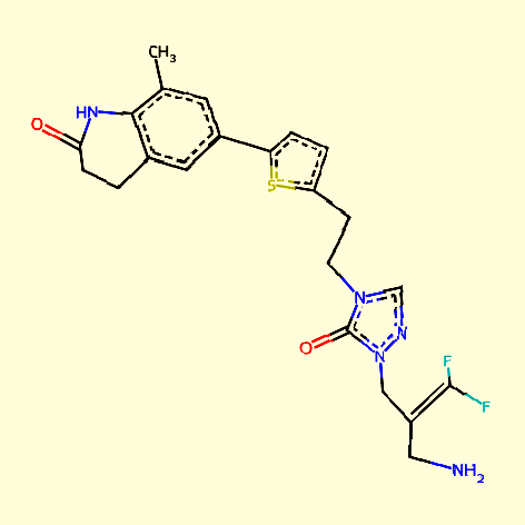 Cc1cc(-c2ccc(CCn3cnn(CC(CN)=C(F)F)c3=O)s2)cc2c1NC(=O)CC2